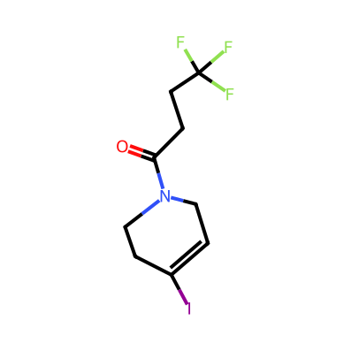 O=C(CCC(F)(F)F)N1CC=C(I)CC1